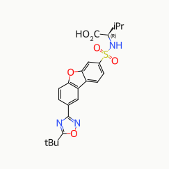 CC(C)[C@@H](NS(=O)(=O)c1ccc2c(c1)oc1ccc(-c3noc(C(C)(C)C)n3)cc12)C(=O)O